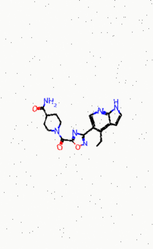 CCc1c(-c2noc(C(=O)N3CCC(C(N)=O)CC3)n2)cnc2[nH]ccc12